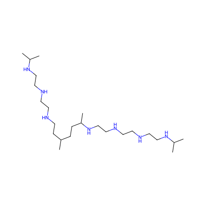 CC(CCNCCNCCNC(C)C)CCC(C)NCCNCCNCCNC(C)C